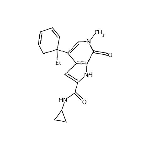 CCC1(c2cn(C)c(=O)c3[nH]c(C(=O)NC4CC4)cc23)C=CC=CC1